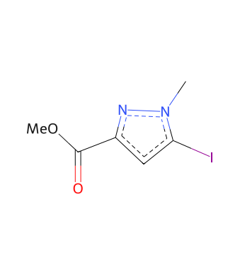 COC(=O)c1cc(I)n(C)n1